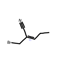 CC/C=C(\C#N)CBr